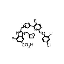 O=C(O)c1cc(F)c2nc(CN3CC=C(c4nc(COc5ccc(Cl)cc5F)ccc4F)C3)n(C[C@@H]3CCO3)c2c1